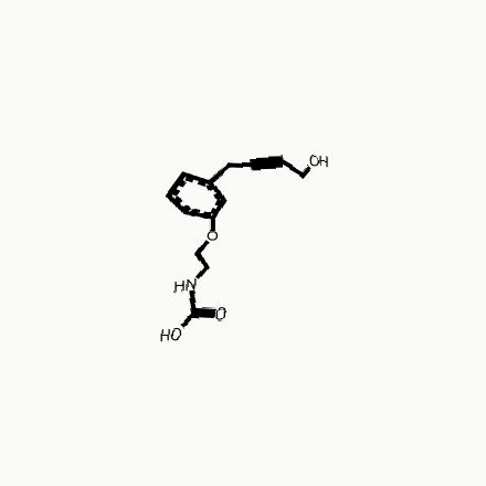 O=C(O)NCCOc1cccc(CC#CCO)c1